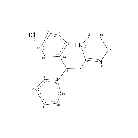 Cl.c1ccc(C(CC2=NCCCN2)c2ccccc2)cc1